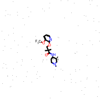 C[C@H]1CN(C)CC[C@H]1NC(=O)C(C)(C)COc1ncccc1OC(F)(F)F